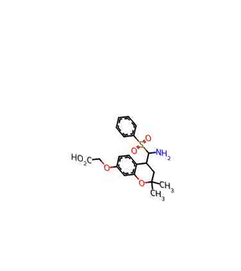 CC1(C)CC(C(N)S(=O)(=O)c2ccccc2)c2ccc(OCC(=O)O)cc2O1